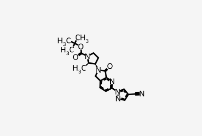 C[C@@H]1[C@H](N2Cc3ccc(-n4cc(C#N)cn4)nc3C2=O)CCN1C(=O)OC(C)(C)C